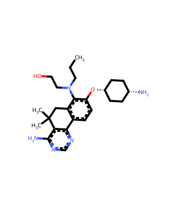 CCCN(CCO)c1c(O[C@H]2CC[C@@H](N)CC2)ccc2c1CC(C)(C)c1c(N)ncnc1-2